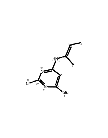 C/C=C(\C)Nc1cc(C(C)(C)C)nc(Cl)n1